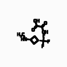 CN[C@H]1C[C@H](C(F)(F)F)C1.O=C(O)C(=O)O